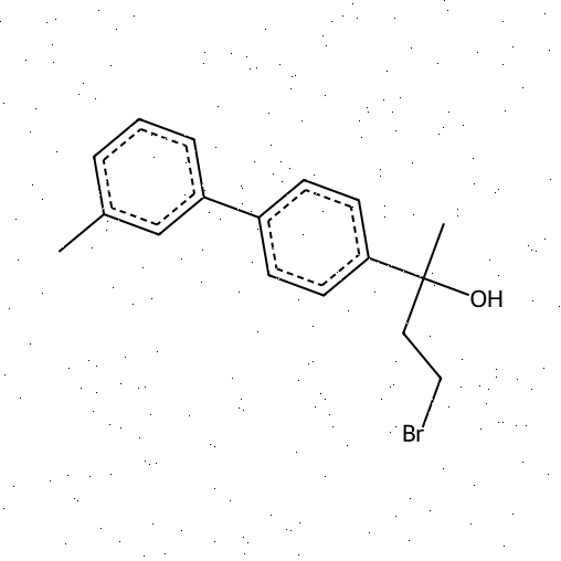 Cc1cccc(-c2ccc(C(C)(O)CCBr)cc2)c1